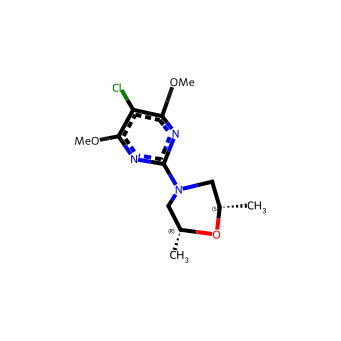 COc1nc(N2C[C@@H](C)O[C@@H](C)C2)nc(OC)c1Cl